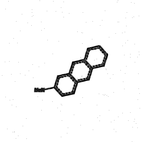 CNc1ccc2cc3ccccc3cc2c1